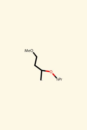 [CH2]C(CCOC)OCCC